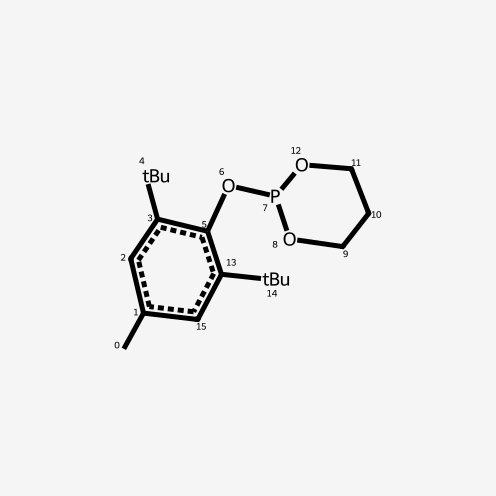 Cc1cc(C(C)(C)C)c(OP2OCCCO2)c(C(C)(C)C)c1